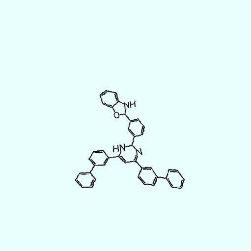 C1=C(c2cccc(-c3ccccc3)c2)NC(c2cccc(C3Nc4ccccc4O3)c2)N=C1c1cccc(-c2ccccc2)c1